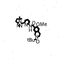 COc1cc2c(cc1C(=O)Nc1cccc(-c3nnc4n3C(C)(C)CC4)n1)CN(C(=O)C(C)(C)C)CC2